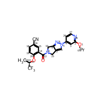 CC(C)Oc1cc(-n2cc3c(n2)CN(C(=O)c2cc(C#N)ccc2O[C@H](C)C(F)(F)F)C3)ccn1